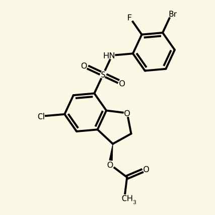 CC(=O)O[C@@H]1COc2c1cc(Cl)cc2S(=O)(=O)Nc1cccc(Br)c1F